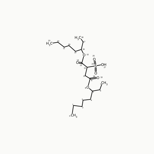 CCCCCC(CC)OC(=O)CC(C(=O)OC(CC)CCCCC)S(=O)(=O)O